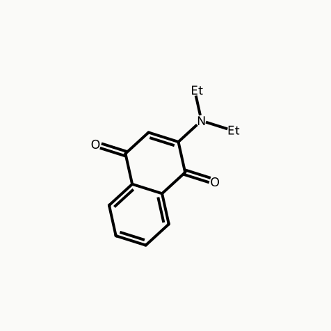 CCN(CC)C1=CC(=O)c2ccccc2C1=O